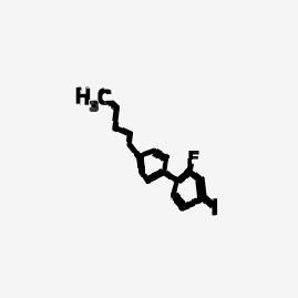 CCCCCc1ccc(-c2ccc(I)cc2F)cc1